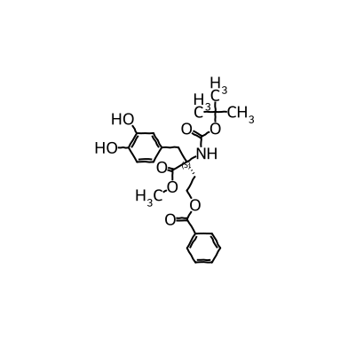 COC(=O)[C@@](CCOC(=O)c1ccccc1)(Cc1ccc(O)c(O)c1)NC(=O)OC(C)(C)C